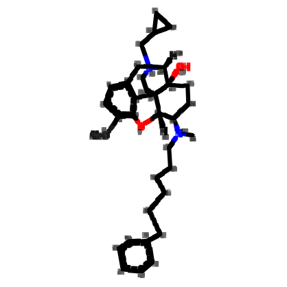 COc1ccc2c3c1O[C@H]1[C@H](N(C)CCCCCCc4ccccc4)CC[C@@]4(O)[C@@H](C2)N(CC2CC2)CC[C@]314